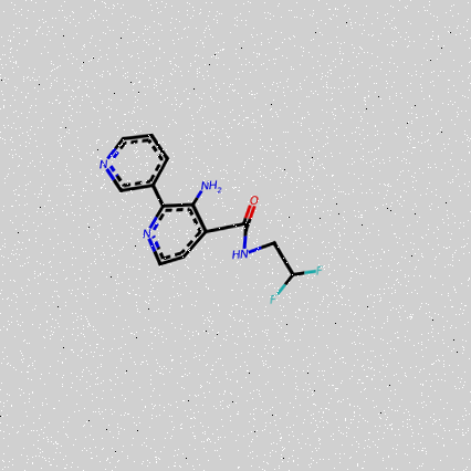 Nc1c(C(=O)NCC(F)F)ccnc1-c1cccnc1